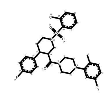 Cc1ccc(Cl)cc1N1CCN(C(=O)C2CN(S(=O)(=O)c3ccccc3Cl)CCC2c2ccc(F)cc2)CC1